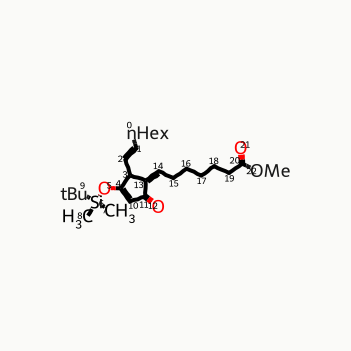 CCCCCCC=CC1C(O[Si](C)(C)C(C)(C)C)=CC(=O)C1=CCCCCCC(=O)OC